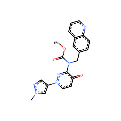 Cn1cc(-n2ccc(=O)c(N(Cc3ccc4ncccc4c3)C(=O)OC(C)(C)C)n2)cn1